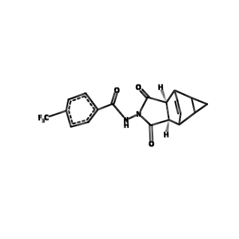 O=C(NN1C(=O)[C@@H]2C3C=CC(C4CC43)[C@@H]2C1=O)c1ccc(C(F)(F)F)cc1